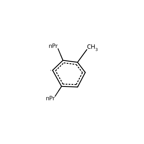 CCCc1[c]c(CCC)c(C)cc1